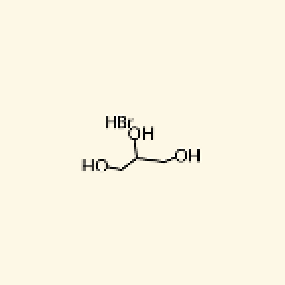 Br.OCC(O)CO